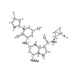 CNc1cc(Nc2cc(Cl)cn(-c3ncc(C)s3)c2=O)nc2c(C(=O)N[C@H]3C4CC43F)cnn12